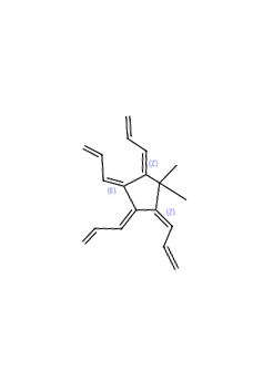 C=CC=C1/C(=C\C=C)C(C)(C)C(=C/C=C)/C1=C\C=C